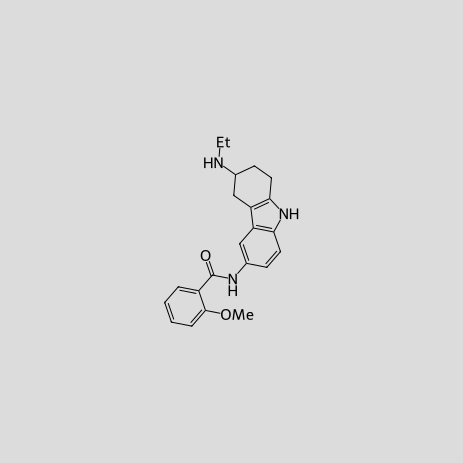 CCNC1CCc2[nH]c3ccc(NC(=O)c4ccccc4OC)cc3c2C1